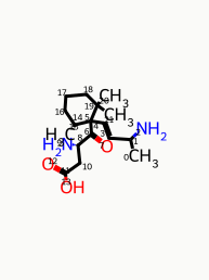 CC(N)C=CC1(C(=O)[C@@H](N)CC(=O)O)C(C)CCCC1(C)C